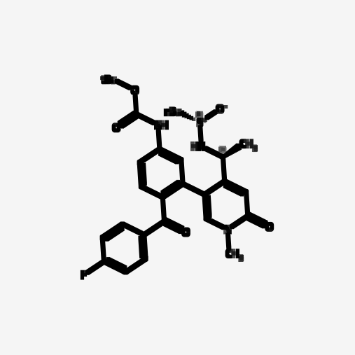 CCCC[S@+]([O-])N[C@@H](C)c1cc(=O)n(C)cc1-c1cc(NC(=O)OC(C)(C)C)ccc1C(=O)c1ccc(F)cc1